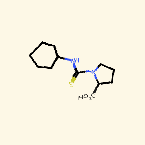 O=C(O)C1CCCN1C(=S)NC1CCCCC1